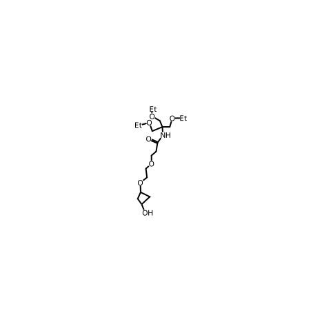 CCOCC(COCC)(COCC)NC(=O)CCOCCOC1CC(O)C1